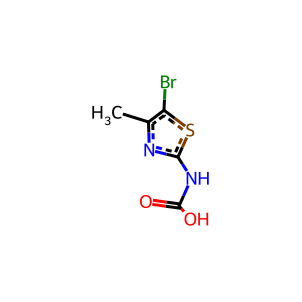 Cc1nc(NC(=O)O)sc1Br